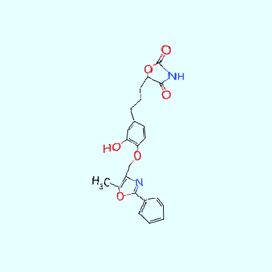 Cc1oc(-c2ccccc2)nc1COc1ccc(CCCC2OC(=O)NC2=O)cc1O